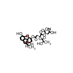 C[C@H](O)C(=O)O[C@@H](CC(=O)OC1=CC[C@@]2(O)[C@H]3Cc4ccc(O)c5c4[C@@]2(CCN3C)[C@H]1O5)C(=O)O[C@H](CC(=O)O)C(=O)O